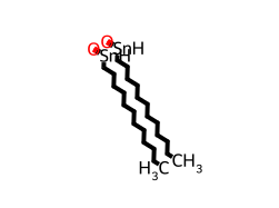 CCCCCCCCCCC[CH2][SnH]=[O].CCCCCCCCCCC[CH2][SnH]=[O]